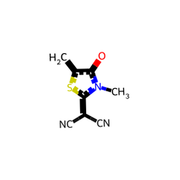 C=c1sc(=C(C#N)C#N)n(C)c1=O